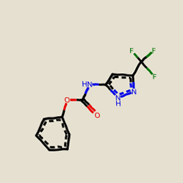 O=C(Nc1cc(C(F)(F)F)n[nH]1)Oc1ccccc1